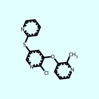 Cc1ncccc1Oc1cc(Sc2ccccn2)cnc1Cl